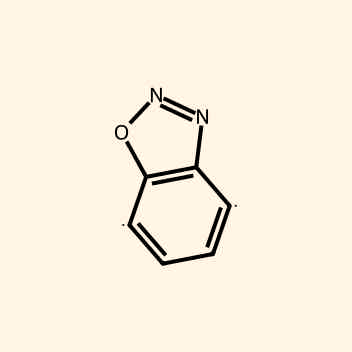 [c]1cc[c]c2onnc12